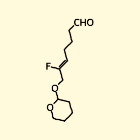 O=CCCCC=C(F)COC1CCCCO1